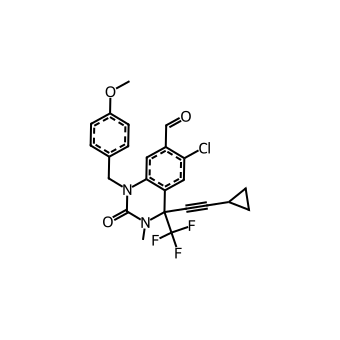 COc1ccc(CN2C(=O)N(C)C(C#CC3CC3)(C(F)(F)F)c3cc(Cl)c(C=O)cc32)cc1